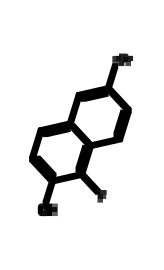 CCCc1ccc2c(F)c(O)ccc2c1